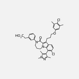 Cc1cc(OCCCc2c3n(c4c(-c5c(C)nn(C)c5C)c(Cl)ccc24)CCCN(c2cccc(CC(=O)O)c2)C3=O)cc(C)c1Cl